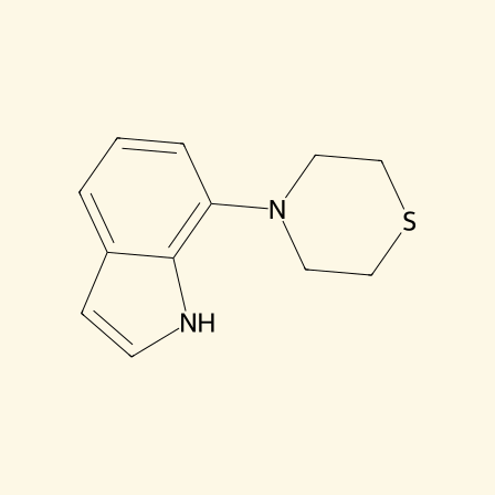 c1cc(N2CCSCC2)c2[nH]ccc2c1